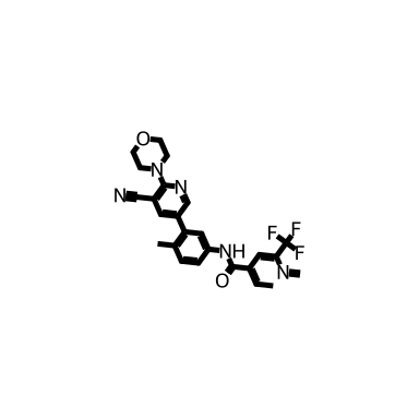 C=N/C(=C\C(=C/C)C(=O)Nc1ccc(C)c(-c2cnc(N3CCOCC3)c(C#N)c2)c1)C(F)(F)F